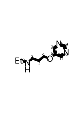 CCNCCCOc1cncnc1